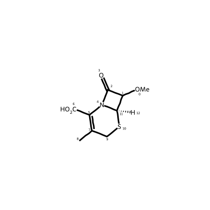 COC1C(=O)N2C(C(=O)O)=C(C)CS[C@H]12